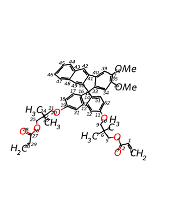 C=CC(=O)OCC(C)(C)COc1ccc(C2(c3ccc(OCC(C)(C)COC(=O)C=C)cc3)c3cc(OC)c(OC)cc3-c3cc4ccccc4cc32)cc1